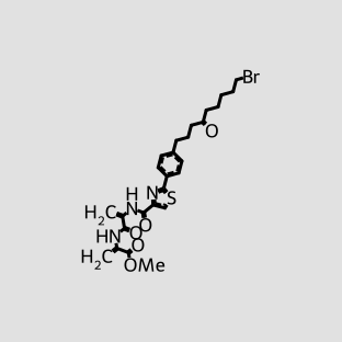 C=C(NC(=O)c1csc(-c2ccc(CCCC(=O)CCCCCBr)cc2)n1)C(=O)NC(=C)C(=O)OC